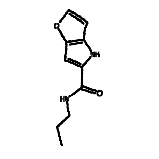 CCCNC(=O)c1cc2occc2[nH]1